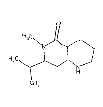 CC(C)C1CC2NCCCC2C(=O)N1C